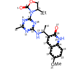 CCC1COC(=O)N1c1nc(C)nc(N[C@@H](C)c2cc3cc(OC)ccc3[nH]c2=O)n1